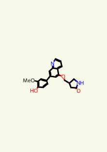 COc1cc(-c2cc(OCC3CNC(=O)C3)c3cccnc3c2)ccc1O